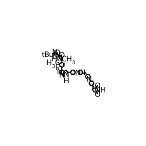 Cc1c([C@@H](C)NC(=O)c2nc(C(C)(C)C)no2)ccc(-c2ncnc3[nH]c(-c4ccc(N5CCN(CC6CCN(c7ccc(N8CCC(=O)NC8=O)cc7)CC6)CC5)cc4)cc23)c1F